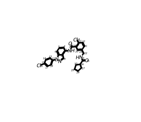 O=C(Nc1cccc2c1cnn2-c1ccc(Cl)cc1)c1cc(CNC(=O)C2CCCC2)ccc1Cl